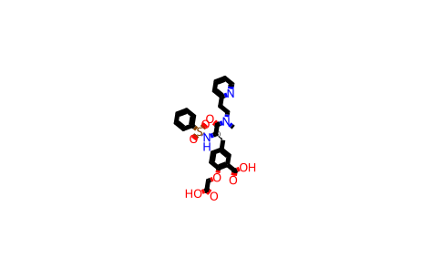 CN(CCc1ccccn1)C(=O)[C@H](Cc1ccc(OCC(=O)O)c(C(=O)O)c1)NS(=O)(=O)c1ccccc1